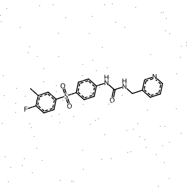 Cc1cc(S(=O)(=O)c2ccc(NC(=O)NCc3cccnc3)cc2)ccc1F